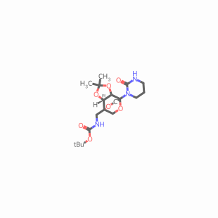 CC(C)(C)OC(=O)NCC12COC(N3CCCNC3=O)(CO1)C1OC(C)(C)O[C@H]12